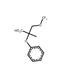 CC(COC(F)(F)F)(Oc1ccccc1)C(=O)O